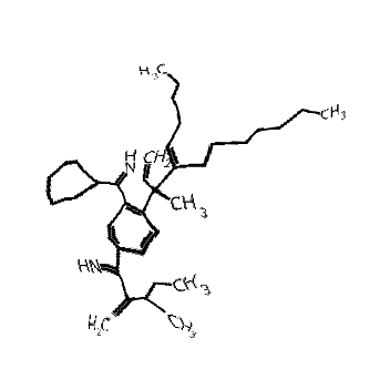 C=CC(C)(/C(=C/CCCC)CCCCCCC)c1ccc(C(=N)C(=C)C(C)CC)cc1C(=N)C1CCCC1